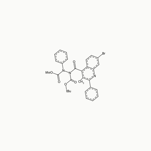 COC(=O)N(c1ccccc1)N(C(=O)OC(C)(C)C)C(=O)c1c(C)c(-c2ccccc2)nc2cc(Br)ccc12